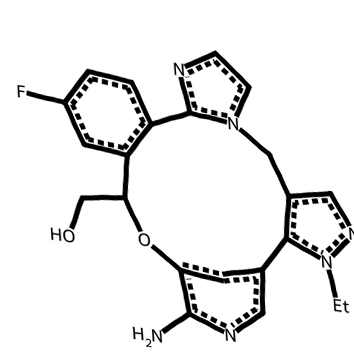 CCn1ncc2c1-c1cnc(N)c(c1)OC(CO)c1cc(F)ccc1-c1nccn1C2